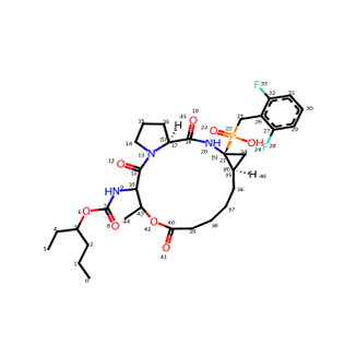 CCCC(CC)OC(=O)NC1C(=O)N2CCC[C@H]2C(=O)N[C@]2(P(=O)(O)Cc3c(F)cccc3F)C[C@H]2CCCCC(=O)OC1C